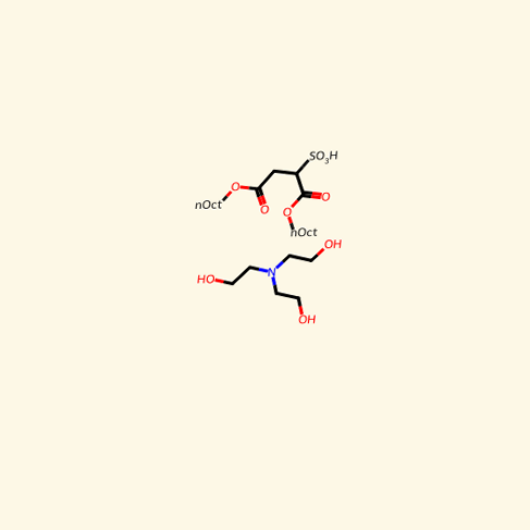 CCCCCCCCOC(=O)CC(C(=O)OCCCCCCCC)S(=O)(=O)O.OCCN(CCO)CCO